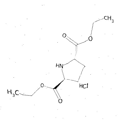 CCOC(=O)[C@@H]1CC[C@@H](C(=O)OCC)N1.Cl